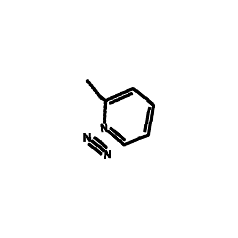 Cc1ccccn1.N#N